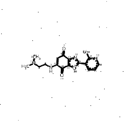 CN(C)CCNC1=CC(=O)c2nc(-c3cccnc3Br)oc2C1=O